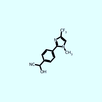 Cn1cc(C(F)(F)F)nc1-c1ccc(C(O)C#N)cc1